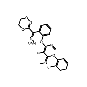 C=N/C(Oc1ccccc1/C(=N\OC)C1=NOCCO1)=C(F)\C(=N/C)OC1=C(Cl)CCC=C1